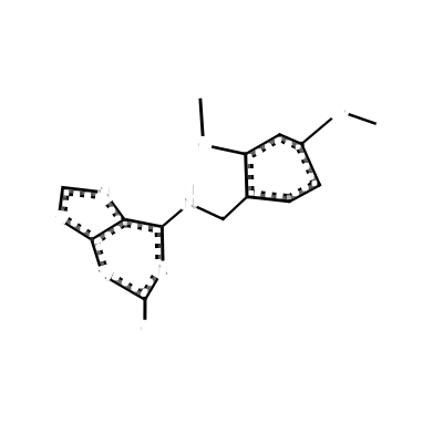 COc1ccc(CNc2nc(Cl)nc3scnc23)c(OC)c1